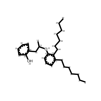 CCCCCCCc1cccc(OC(C)Cc2ccccc2O)c1CCCCCCC